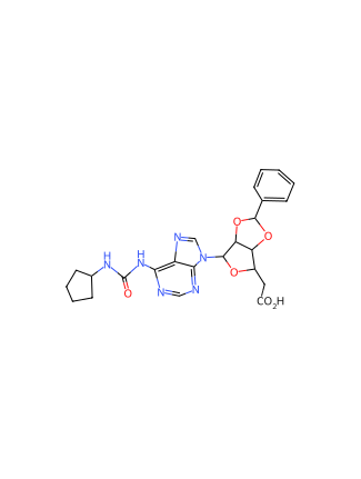 O=C(O)CC1OC(n2cnc3c(NC(=O)NC4CCCC4)ncnc32)C2OC(c3ccccc3)OC12